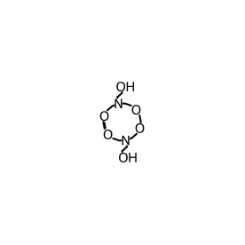 OCCN1CCO/C=C\OCCN(CCO)CCOCCOCC1